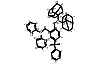 CC(C)(c1ccccc1)c1ccc(CP(C23CC4CC(CC(C4)C2)C3)C23CC4CC(CC(C4)C2)C3)c(CP(c2ccccn2)c2ccccn2)c1